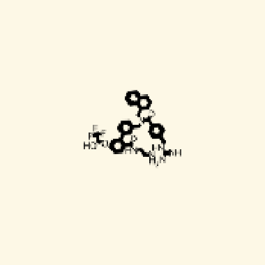 N=C(N)NCc1ccc(C(=O)N(Cc2cccc(-c3ccccc3C(=O)NCCN)c2)Cc2cccc3ccccc23)cc1.O=C(O)C(F)(F)F